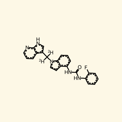 [2H]C([2H])(c1c[nH]c2ncccc12)n1ccc2c(NC(=O)Nc3ccccc3F)cccc21